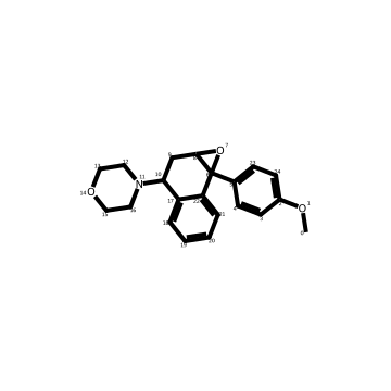 COc1ccc(C23OC2CC(N2CCOCC2)c2ccccc23)cc1